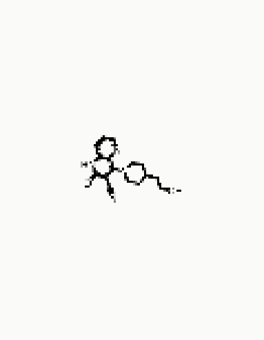 N#Cc1c(N2CCC(CCO)CC2)c2ncccc2[nH]c1=O